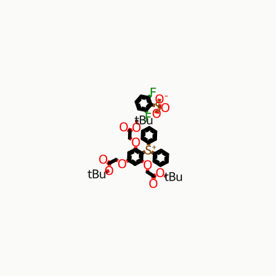 CC(C)(C)OC(=O)COc1cc(OCC(=O)OC(C)(C)C)c([S+](c2ccccc2)c2ccccc2)c(OCC(=O)OC(C)(C)C)c1.O=S(=O)([O-])c1c(F)cccc1F